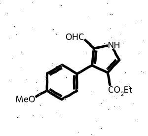 CCOC(=O)c1c[nH]c(C=O)c1-c1ccc(OC)cc1